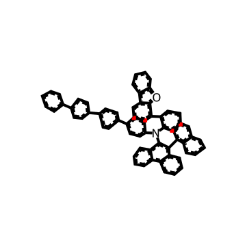 c1ccc(-c2ccc(-c3ccc(-c4ccc(N(c5ccccc5-c5cccc6c5oc5ccccc56)c5c(-c6cccc7ccccc67)c6ccccc6c6ccccc56)cc4)cc3)cc2)cc1